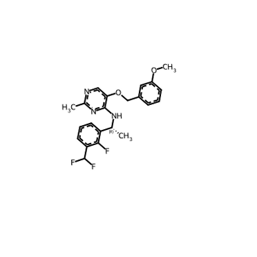 COc1cccc(COc2cnc(C)nc2N[C@H](C)c2cccc(C(F)F)c2F)c1